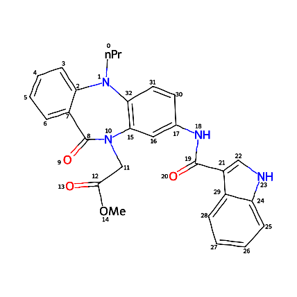 CCCN1c2ccccc2C(=O)N(CC(=O)OC)c2cc(NC(=O)c3c[nH]c4ccccc34)ccc21